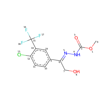 COC(=O)NN=C(CO)c1ccc(Cl)c(C(F)(F)F)c1